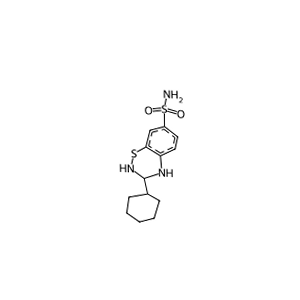 NS(=O)(=O)c1ccc2c(c1)SNC(C1CCCCC1)N2